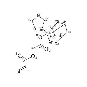 C=CC(=O)OCC(=O)OC1(C2CCCC2)C2CC3CC(C2)CC1C3